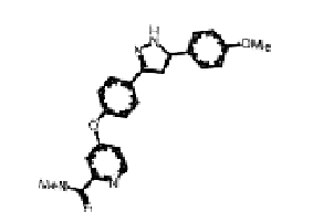 CNC(=O)c1cc(Oc2ccc(C3=NNC(c4ccc(OC)cc4)C3)cc2)ccn1